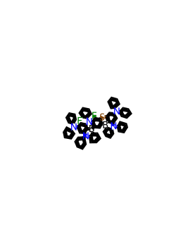 Fc1ccccc1N1c2cc(N(c3ccccc3)c3ccccc3)cc3c2B(c2ccccc2N3c2ccccc2)c2cc3c(c(F)c21)Sc1cc(N(c2ccccc2)c2ccccc2)cc2c1B3c1ccccc1N2c1ccccc1